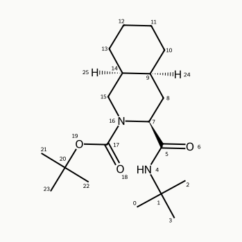 CC(C)(C)NC(=O)[C@@H]1C[C@@H]2CCCC[C@@H]2CN1C(=O)OC(C)(C)C